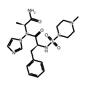 C[C@@H](C(N)=O)N(C(=O)[C@H](Cc1ccccc1)NS(=O)(=O)N1CCN(C)CC1)n1ccnc1